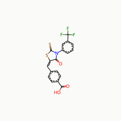 O=C(O)c1ccc(C=C2SC(=S)N(c3cccc(C(F)(F)F)c3)C2=O)cc1